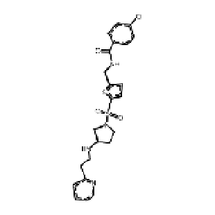 O=C(NCc1ccc(S(=O)(=O)N2CCC(NCCc3ccccn3)C2)s1)c1ccc(Cl)cc1